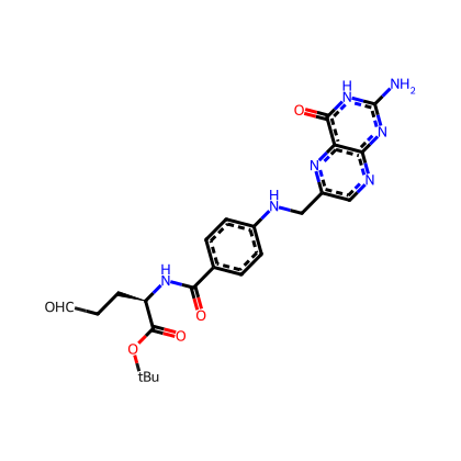 CC(C)(C)OC(=O)[C@@H](CCC=O)NC(=O)c1ccc(NCc2cnc3nc(N)[nH]c(=O)c3n2)cc1